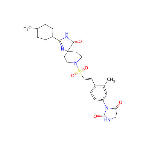 Cc1cc(N2C(=O)CNC2=O)ccc1C=CS(=O)(=O)N1CCC2(CC1)N=C(C1CCC(C)CC1)NC2=O